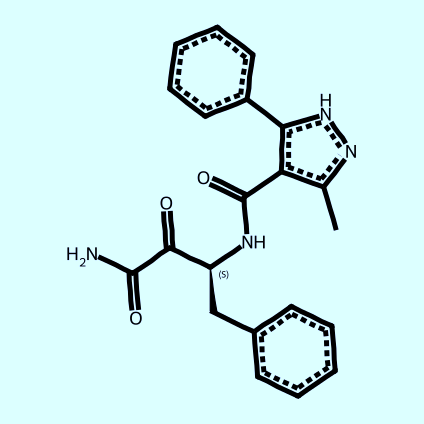 Cc1n[nH]c(-c2ccccc2)c1C(=O)N[C@@H](Cc1ccccc1)C(=O)C(N)=O